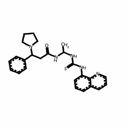 CC(NC(=O)CC(c1ccccc1)N1CCCC1)NC(=S)Nc1cccc2cccnc12